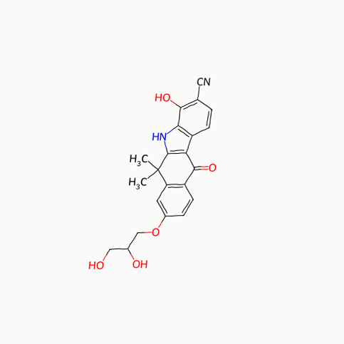 CC1(C)c2cc(OCC(O)CO)ccc2C(=O)c2c1[nH]c1c(O)c(C#N)ccc21